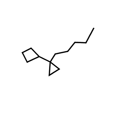 CCCCCC1(C2CCC2)CC1